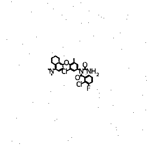 Cc1cc(N(C(N)=O)C(=O)c2cccc(F)c2Cl)cc(Cl)c1Oc1ccc(N(C)C)c2c1CCCC2